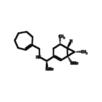 CN[C@@H](NCC1=CCCCCC1)C1=C[C@@]2(NC)[C@H]([C@@H](C)C1)[C@@H]2C